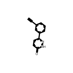 C#Cc1cccc(-c2ccc(=O)[nH]n2)c1